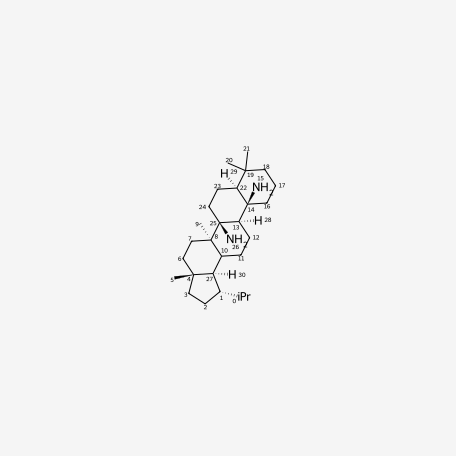 CC(C)[C@@H]1CC[C@]2(C)CC[C@]3(C)C(CC[C@@H]4[C@@]5(N)CCCC(C)(C)[C@@H]5CC[C@]43N)[C@@H]12